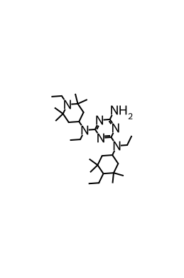 CCC1C(C)(C)CC(N(CC)c2nc(N)nc(N(CC)C3CC(C)(C)N(CC)C(C)(C)C3)n2)CC1(C)C